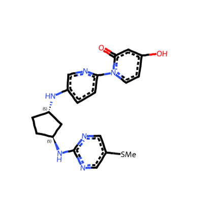 CSc1cnc(N[C@H]2CC[C@H](Nc3ccc(-n4ccc(O)cc4=O)nc3)C2)nc1